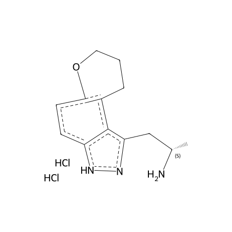 C[C@H](N)Cc1n[nH]c2ccc3c(c12)CCCO3.Cl.Cl